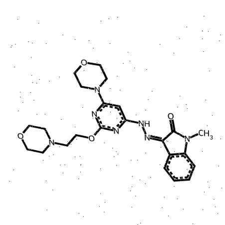 CN1C(=O)C(=NNc2cc(N3CCOCC3)nc(OCCN3CCOCC3)n2)c2ccccc21